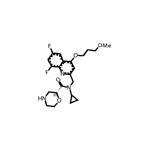 COCCCOc1cc(CN(C(=O)[C@H]2CNCCO2)C2CC2)nc2c(F)cc(F)cc12